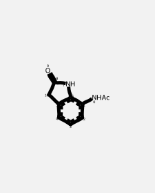 CC(=O)Nc1cccc2c1NC(=O)C2